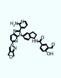 Nc1ncccc1-c1nc2ccc(-n3cc4c(n3)COC4)nc2n1-c1ccc2c(c1)CC[C@@H]2NC(=O)c1ccc(O)c(C=O)c1